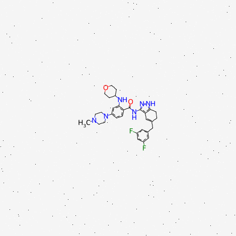 CN1CCN(c2ccc(C(=O)Nc3n[nH]c4c3C=C(Cc3cc(F)cc(F)c3)CC4)c(NC3CCOCC3)c2)CC1